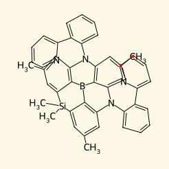 Cc1cc2c3c(c1)N(c1ccccc1-c1ccccn1)c1cc(C)cc4c1B3c1c(cc(C)cc1[Si]4(C)C)N2c1ccccc1-c1ccccn1